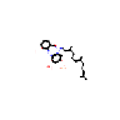 CC(C)=CCC/C(C)=C/CC/C(C)=C/CN1C(=O)c2cccc(O)c2Nc2c(OO)cc(OP(=O)(O)O)cc21